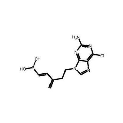 C=C(/C=C/P(O)O)CCn1cnc2c(Cl)nc(N)nc21